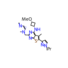 C=N/C=C\N(C)Cc1nc(N[C@H]2C[C@@H](OC)C2)c2c(C)c(-c3ccn(C(C)C)n3)sc2n1